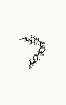 CCCN1CCN(CC(C)CC2CN(C3CCN(CC(C)C)CC3)CCO2)CC1